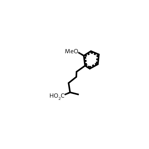 COc1ccccc1CCCC(C)C(=O)O